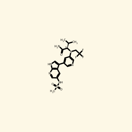 CC(C)[C@H](C(N)=O)N(CC(F)(F)F)c1cncc(-c2c[nH]c3ncc(NS(C)(=O)=O)cc23)c1